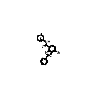 O=C(NC1CN2CCC1CC2)c1ccc(Br)c2oc(-c3ccccc3)nc12